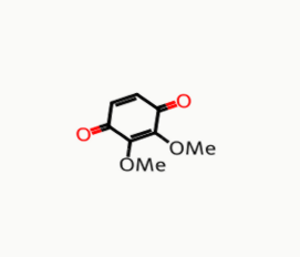 COC1=C(OC)C(=O)C=CC1=O